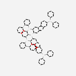 c1ccc(-c2ccccc2N2c3cc4c(cc3B3c5cc6oc7cc(N(c8ccccc8)c8ccccc8)ccc7c6cc5N(c5ccccc5-c5ccccc5)c5cccc2c53)oc2cc(N(c3ccccc3)c3ccccc3)ccc24)cc1